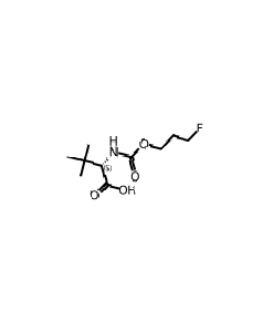 CC(C)(C)[C@H](NC(=O)OCCCF)C(=O)O